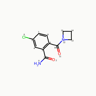 NC(=O)c1cc(Cl)ccc1C(=O)N1CCC1